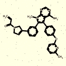 C=CC(=O)N1CC=C(c2cccc(-c3c(-c4ccc(Oc5cccc(C)n5)cc4)c4c(N)ncnc4n3C)c2)C1